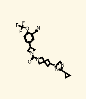 N#Cc1cc(C2CN(C(=O)N3CC4(CC(n5cnc(C6CC6)n5)C4)C3)C2)ccc1OC(F)(F)F